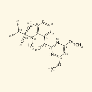 COc1nc(OC)nc(C(=O)c2cccc(F)c2N(C)S(=O)(=O)C(F)F)n1